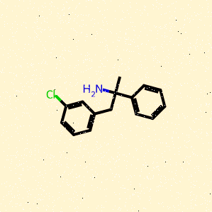 CC(N)(Cc1cccc(Cl)c1)c1ccccc1